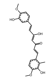 COc1ccc(/C=C/C(O)=C/C(=O)/C=C/c2ccc(OC)c(O)c2C)cc1O